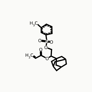 C=CC(=O)OC(COS(=O)(=O)c1cccc(C)c1)C12CC3CC(CC(C3)C1)C2